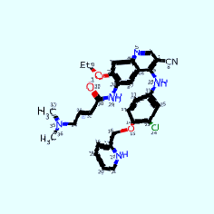 CCOc1cc2ncc(C#N)c(Nc3ccc(OCC4=CC=CCN4)c(Cl)c3)c2cc1NC(=O)/C=C/CN(C)C